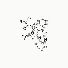 O=C(C(F)F)N1CC2(CN(Cc3nc4c(n3CCCC(F)(F)F)CCCC4)c3ccccc32)C1=O